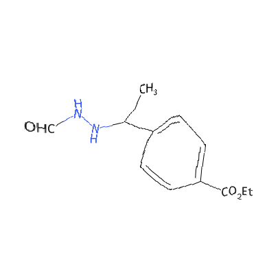 CCOC(=O)c1ccc(C(C)NNC=O)cc1